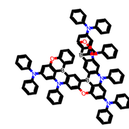 c1ccc(N(c2ccccc2)c2cc3c4c(c2)N(c2ccccc2)c2cc5c(cc2B4c2ccccc2O3)B2c3cc4c(cc3N(c3ccccc3)c3cc(N(c6ccccc6)c6ccccc6)cc(c32)O5)N(c2ccccc2)c2cc(N(c3ccccc3)c3ccccc3)cc3c2B4c2ccccc2O3)cc1